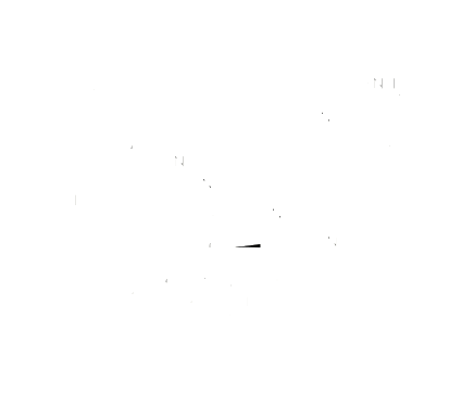 CC1(C)[C@H]2CC[C@@]1(c1ccnc(-c3ccc(N)nc3)n1)c1nnc(-c3c(F)cccc3F)cc12